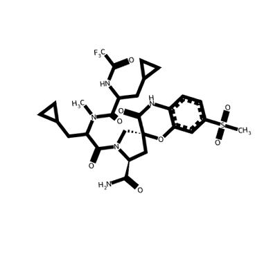 CN(C(=O)C(CC1CC1)NC(=O)C(F)(F)F)C(CC1CC1)C(=O)N1C[C@@]2(C[C@H]1C(N)=O)Oc1cc(S(C)(=O)=O)ccc1NC2=O